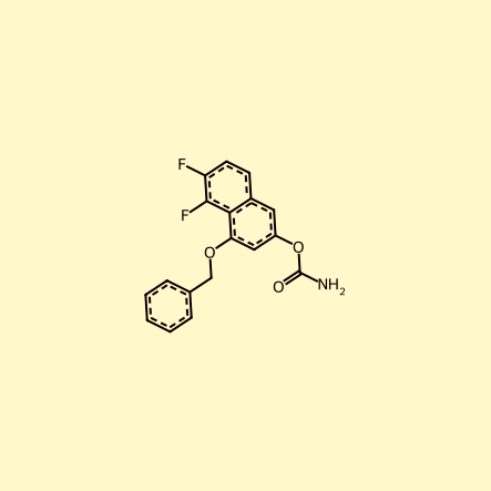 NC(=O)Oc1cc(OCc2ccccc2)c2c(F)c(F)ccc2c1